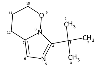 CC(C)(C)c1ncc2n1OCCC2